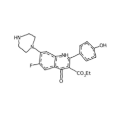 CCOC(=O)c1c(-c2ccc(O)cc2)[nH]c2cc(N3CCNCC3)c(F)cc2c1=O